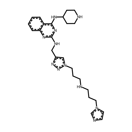 c1ccc2c(NC3CCNCC3)nc(NCc3cn(CCCNCCCn4ccnc4)nn3)nc2c1